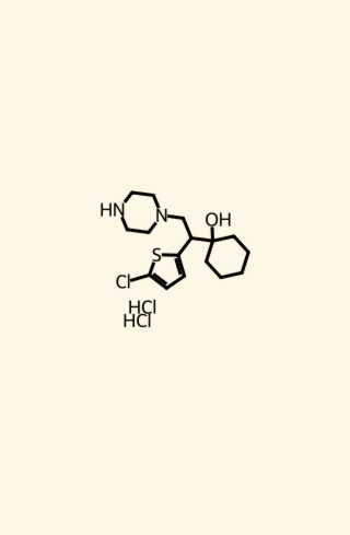 Cl.Cl.OC1(C(CN2CCNCC2)c2ccc(Cl)s2)CCCCC1